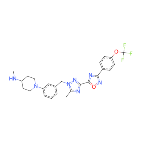 CNC1CCN(c2cccc(Cn3nc(-c4nc(-c5ccc(OC(F)(F)F)cc5)no4)nc3C)c2)CC1